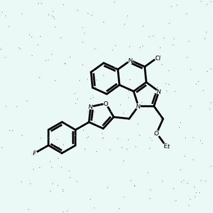 CCOCc1nc2c(Cl)nc3ccccc3c2n1Cc1cc(-c2ccc(F)cc2)no1